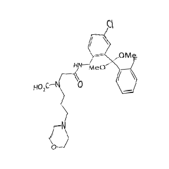 COC(OC)(c1ccccc1F)c1cc(Cl)ccc1CNC(=O)CN(CCCN1CCOCC1)C(=O)O